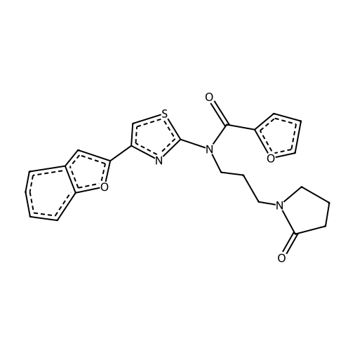 O=C1CCCN1CCCN(C(=O)c1ccco1)c1nc(-c2cc3ccccc3o2)cs1